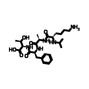 CC(C)N[C@@H](CCCCN)C(=O)N[C@@H](C)C(=O)N[C@@H](Cc1ccccc1)C(=O)N[C@H](C(=O)O)[C@@H](C)O